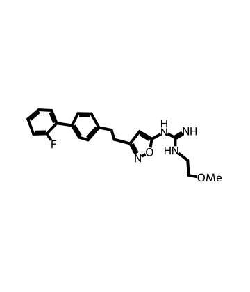 COCCNC(=N)Nc1cc(CCc2ccc(-c3ccccc3F)cc2)no1